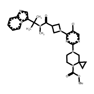 CN(C(=O)C1CN(c2nc(N3CCN(C(=O)OC(C)(C)C)C4(CC4)C3)ncc2Cl)C1)C(C)(C)c1cnc2ccccn12